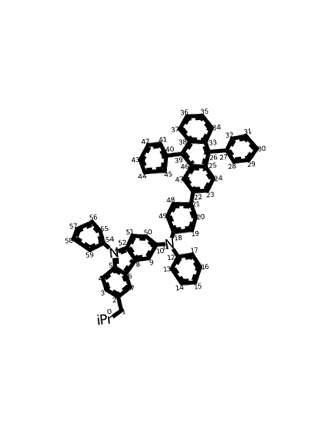 CC(C)Cc1ccc2c(c1)c1cc(N(c3ccccc3)c3ccc(-c4ccc5c(-c6ccccc6)c6ccccc6c(-c6ccccc6)c5c4)cc3)ccc1n2-c1ccccc1